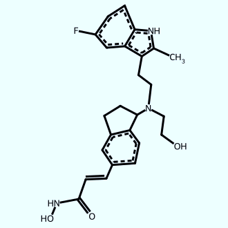 Cc1[nH]c2ccc(F)cc2c1CCN(CCO)C1CCc2cc(C=CC(=O)NO)ccc21